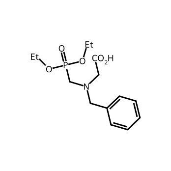 CCOP(=O)(CN(CC(=O)O)Cc1ccccc1)OCC